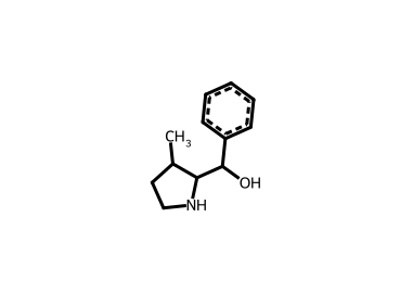 CC1CCNC1C(O)c1ccccc1